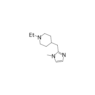 CCN1CCC(Cc2nccn2C)CC1